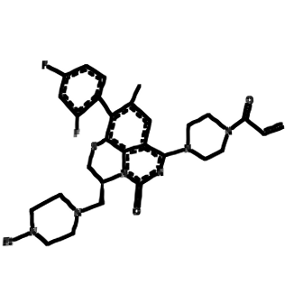 C=CC(=O)N1CCN(c2nc(=O)n3c4c(c(-c5ccc(F)cc5F)c(C)cc24)SC[C@@H]3CN2CCN(CC)CC2)CC1